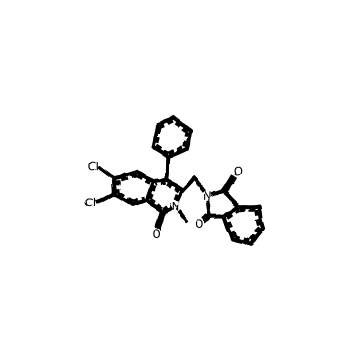 Cn1c(CN2C(=O)c3ccccc3C2=O)c(-c2ccccc2)c2cc(Cl)c(Cl)cc2c1=O